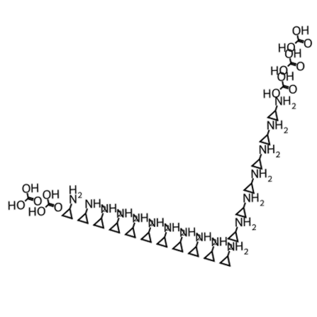 NC1CC1.NC1CC1.NC1CC1.NC1CC1.NC1CC1.NC1CC1.NC1CC1.NC1CC1.NC1CC1.NC1CC1.NC1CC1.NC1CC1.NC1CC1.NC1CC1.NC1CC1.NC1CC1.NC1CC1.O=C(O)O.O=C(O)O.O=C(O)O.O=C(O)O.O=C(O)O